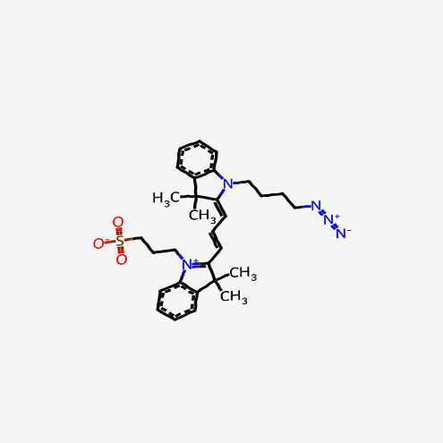 CC1(C)C(/C=C/C=C2/N(CCCCN=[N+]=[N-])c3ccccc3C2(C)C)=[N+](CCCS(=O)(=O)[O-])c2ccccc21